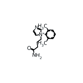 Cc1cccc(C)c1[N+]1(CCCC(N)=O)C=CN=C1